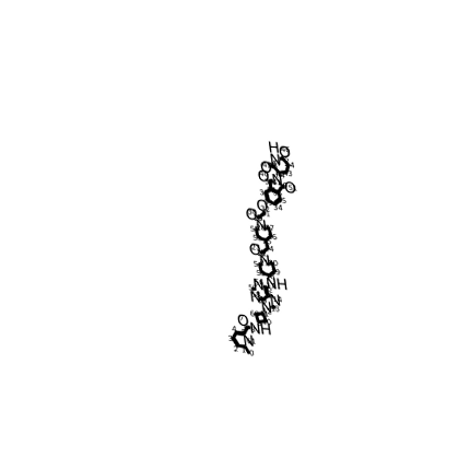 Cc1cccc(C(=O)NC2CC(n3cnc4c(NC5CCN(C(=O)CC6CCN(C(=O)COc7ccc8c(c7)C(=O)N([C@H]7CCC(=O)NC7=O)C8=O)CC6)CC5)ncnc43)C2)n1